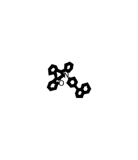 c1ccc2c(-c3ccc(-n4c5ccccc5c5c6ccccc6c6c7ccccc7oc6c54)cc3)cccc2c1